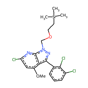 COc1cc(Cl)nc2c1c(-c1cccc(Cl)c1Cl)nn2COCC[Si](C)(C)C